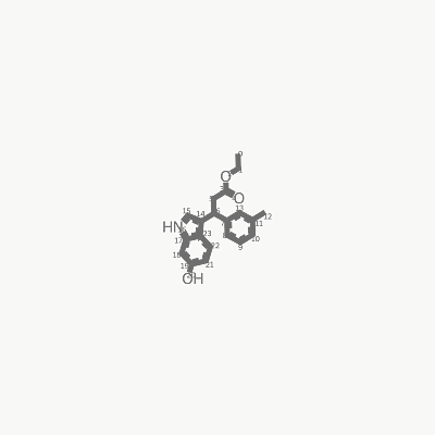 CCOC(=O)CC(c1cccc(C)c1)c1c[nH]c2cc(O)ccc12